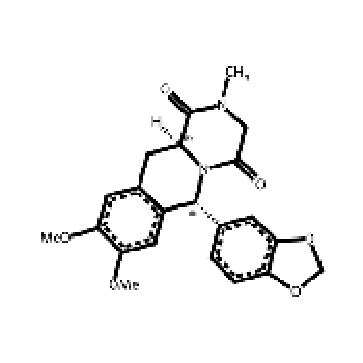 COc1cc2c(cc1OC)[C@@H](c1ccc3c(c1)OCO3)N1C(=O)CN(C)C(=O)[C@@H]1C2